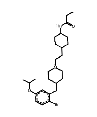 CCC(=O)NC1CCC(CCN2CCC(Cc3cc(OC(C)C)ccc3Br)CC2)CC1